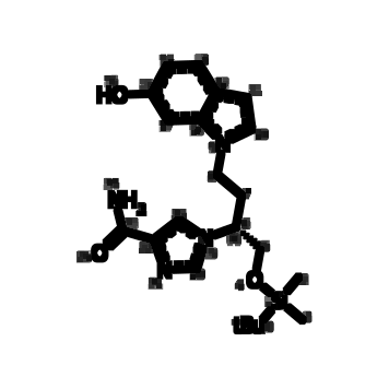 CC(C)(C)[Si](C)(C)OC[C@@H](CCn1ccc2ccc(O)cc21)n1cnc(C(N)=O)c1